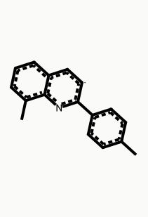 Cc1ccc(-c2[c]cc3cccc(C)c3n2)cc1